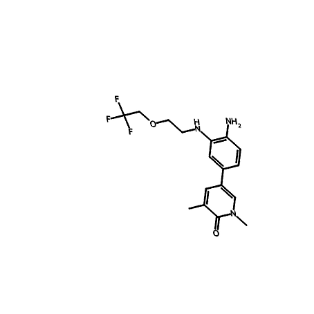 Cc1cc(-c2ccc(N)c(NCCOCC(F)(F)F)c2)cn(C)c1=O